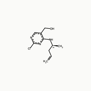 C=CC[C@H](C)Nc1nc(Cl)ncc1CO